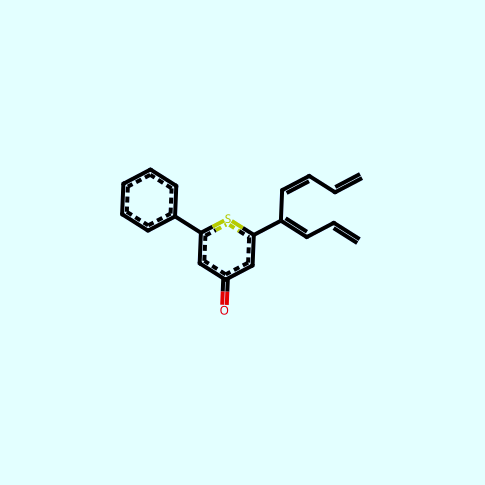 C=C/C=C\C(=C/C=C)c1cc(=O)cc(-c2ccccc2)s1